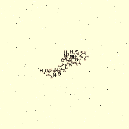 C=C(CN1CCC[C@H]1c1nc(-c2ccc(C(=O)Nc3cc(C)ccn3)cc2)c(C(N)=O)n1N)c1ccccc1